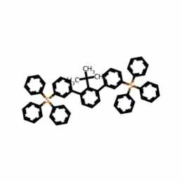 CC(C)(C)c1c(-c2cccc(S(c3ccccc3)(c3ccccc3)c3ccccc3)c2)cccc1-c1cccc(S(c2ccccc2)(c2ccccc2)c2ccccc2)c1